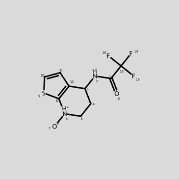 O=C(NC1CC[NH+]([O-])c2sccc21)C(F)(F)F